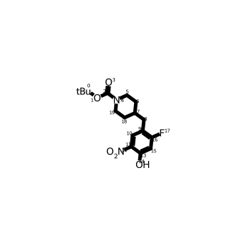 CC(C)(C)OC(=O)N1CCC(Cc2cc([N+](=O)[O-])c(O)cc2F)CC1